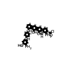 O=[C](Cl)[Rh].Oc1ccccc1.Oc1ccccc1.Oc1ccccc1.Oc1ccccc1.Oc1ccccc1P.Oc1ccccc1P